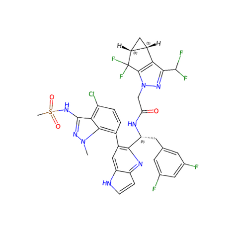 Cn1nc(NS(C)(=O)=O)c2c(Cl)ccc(-c3cc4[nH]ccc4nc3[C@@H](Cc3cc(F)cc(F)c3)NC(=O)Cn3nc(C(F)F)c4c3C(F)(F)[C@@H]3C[C@H]43)c21